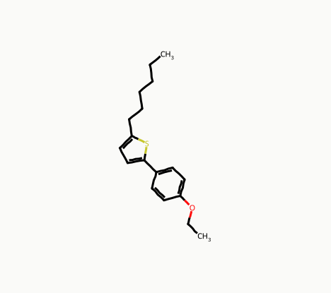 CCCCCCc1ccc(-c2ccc(OCC)cc2)s1